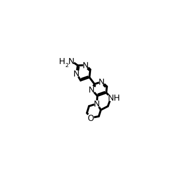 Nc1ncc(-c2ncc3c(n2)N2CCOCC2CN3)cn1